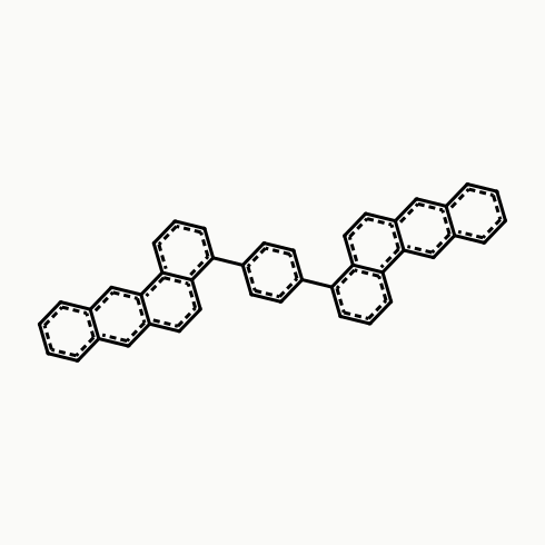 c1ccc2cc3c(ccc4c(-c5ccc(-c6cccc7c6ccc6cc8ccccc8cc67)cc5)cccc43)cc2c1